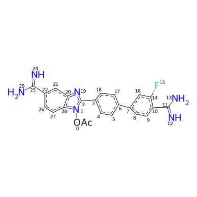 CC(=O)On1c(-c2ccc(-c3ccc(C(=N)N)c(F)c3)cc2)nc2cc(C(=N)N)ccc21